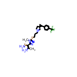 C/C(N)=C(/SN)c1nnc(SCCCN2CCC3(CC3c3ccc(C(F)(F)F)cc3)C2)n1C